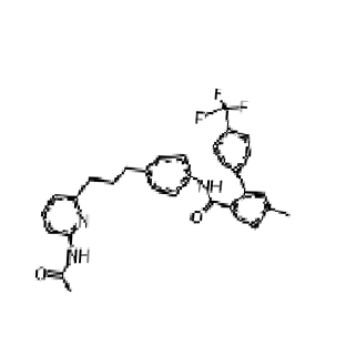 CC(=O)Nc1cccc(CCCc2ccc(NC(=O)c3ccc(C)cc3-c3ccc(C(F)(F)F)cc3)cc2)n1